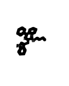 CCCCOC(=O)C(Cc1c[nH]c2ccccc12)N=C(c1ccccc1)c1ccccc1